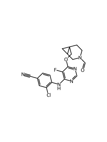 N#Cc1ccc(Nc2ncnc(OCC34CCN(C=O)CC3C4)c2F)c(Cl)c1